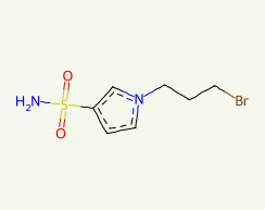 NS(=O)(=O)c1ccn(CCCBr)c1